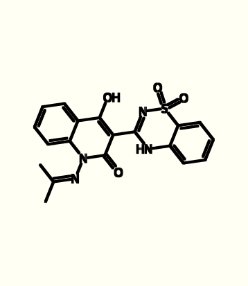 CC(C)=Nn1c(=O)c(C2=NS(=O)(=O)c3ccccc3N2)c(O)c2ccccc21